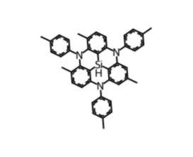 Cc1ccc(N2c3cc(C)cc4c3[SiH]3c5c2ccc(C)c5N(c2ccc(C)cc2)c2c(C)ccc(c23)N4c2ccc(C)cc2)cc1